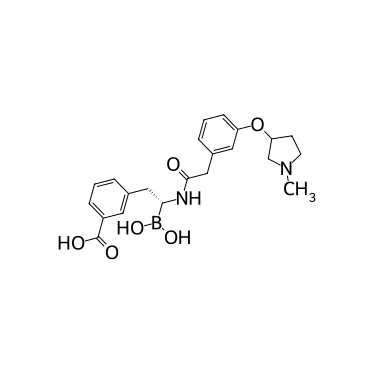 CN1CCC(Oc2cccc(CC(=O)N[C@@H](Cc3cccc(C(=O)O)c3)B(O)O)c2)C1